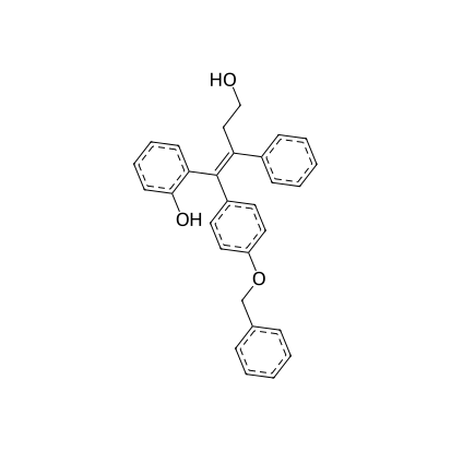 OCCC(=C(c1ccc(OCc2ccccc2)cc1)c1ccccc1O)c1ccccc1